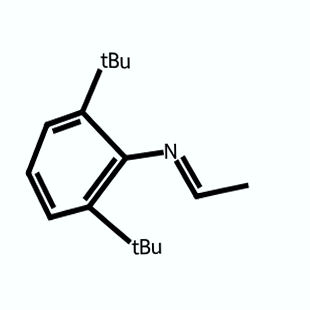 CC=Nc1c(C(C)(C)C)cccc1C(C)(C)C